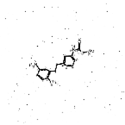 Cc1ccc(N)cc1CCc1cccc(NC(=O)OC(C)(C)C)c1